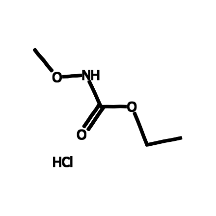 CCOC(=O)NOC.Cl